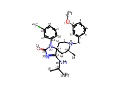 CC(C)Oc1cccc(CN2CC[C@@]3(C[C@@H]2C)C(NC(C)C(C)C)=NC(=O)N3c2cccc(F)c2)c1